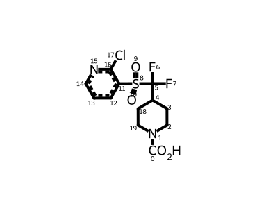 O=C(O)N1CCC(C(F)(F)S(=O)(=O)c2cccnc2Cl)CC1